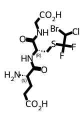 N[C@@H](CCC(=O)O)C(=O)N[C@@H](CSC(F)(F)C(Cl)Br)C(=O)NCC(=O)O